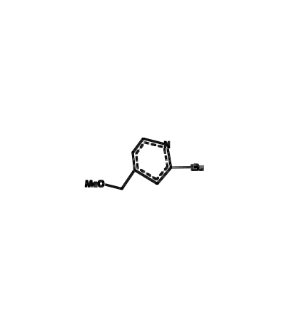 COCc1ccnc(C(C)(C)C)c1